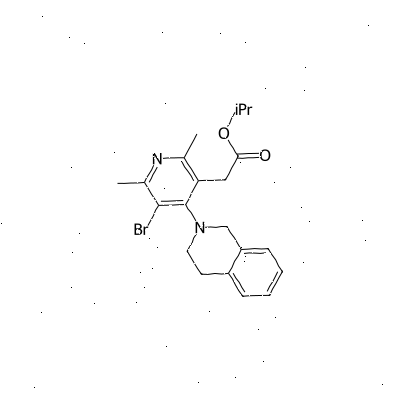 Cc1nc(C)c(CC(=O)OC(C)C)c(N2CCc3ccccc3C2)c1Br